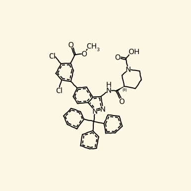 COC(=O)c1cc(-c2ccc3c(c2)c(NC(=O)[C@@H]2CCCN(C(=O)O)C2)nn3C(c2ccccc2)(c2ccccc2)c2ccccc2)c(Cl)cc1Cl